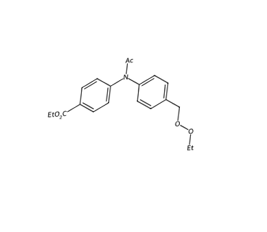 CCOOCc1ccc(N(C(C)=O)c2ccc(C(=O)OCC)cc2)cc1